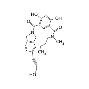 CCCCN(C)C(=O)c1cc(C(=O)N2Cc3ccc(C#CCO)cc3C2)c(O)cc1O